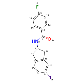 O=C(NC1Cc2ccc(I)cc2C1)c1ccc(F)cc1